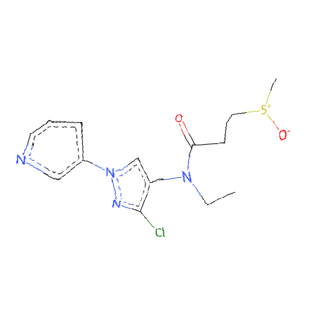 CCN(C(=O)CC[S+](C)[O-])c1cn(-c2cccnc2)nc1Cl